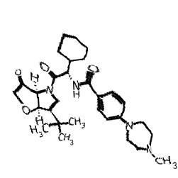 CN1CCN(c2ccc(C(=O)N[C@H](C(=O)N3C[C@@H](C(C)(C)C)[C@H]4OCC(=O)[C@H]43)C3CCCCC3)cc2)CC1